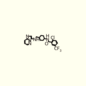 O=C(NC1CCC(CNc2cnc3cccnn23)CC1)c1cc(C(F)(F)F)ccc1Cl